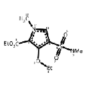 CCOC(=O)c1c(OCC)c(S(=O)(=O)NC)cn1C